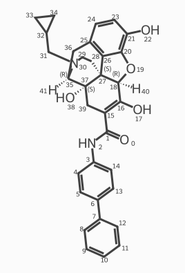 O=C(Nc1ccc(-c2ccccc2)cc1)C1=C(O)[C@@H]2Oc3c(O)ccc4c3[C@@]23CCN(CC2CC2)[C@H](C4)[C@]3(O)C1